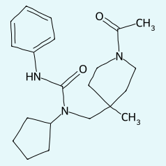 CC(=O)N1CCC(C)(CN(C(=O)Nc2ccccc2)C2CCCC2)CC1